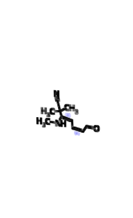 CN/C(=C\C=C/C=O)C(C)(C)C#N